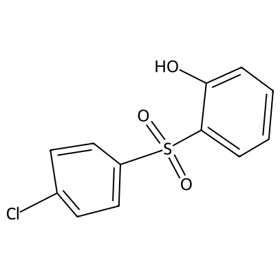 O=S(=O)(c1ccc(Cl)cc1)c1ccccc1O